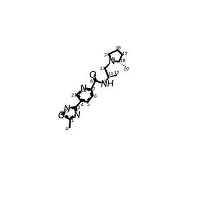 Cc1nc(-c2ccc(C(=O)N[C@H](C)CN3CCC[C@@H]3C)nc2)no1